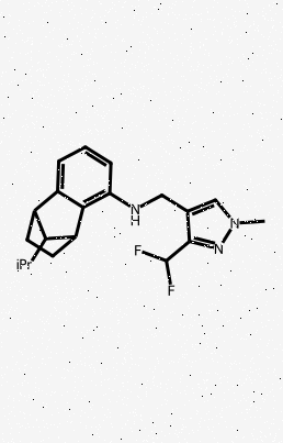 CC(C)C1C2CCC1c1c(NCc3cn(C)nc3C(F)F)cccc12